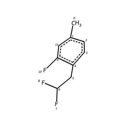 Cc1ccc(CC(F)F)c(F)c1